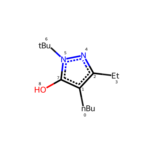 CCCCc1c(CC)nn(C(C)(C)C)c1O